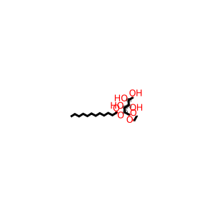 CCCCCCCCCCCC(=O)O[C@H](C1OCCO1)[C@@H](O)[C@H](O)[C@H](O)CO